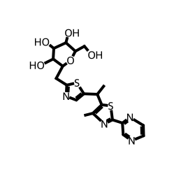 Cc1nc(-c2cnccn2)sc1C(C)c1cnc(CC2OC(CO)C(O)C(O)C2O)s1